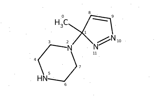 CC1(N2CCNCC2)C=CN=N1